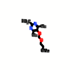 COCCOCOc1c(C(C)(C)C)nc(C(=O)O)nc1C(C)(C)C